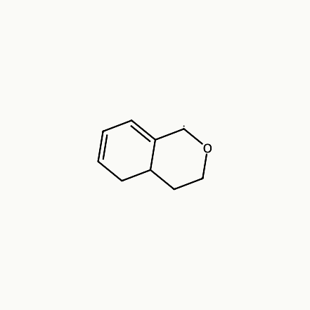 [CH]1OCCC2CC=CC=C12